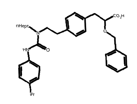 CCCCCCCN(CCc1ccc(CC(OCc2ccccc2)C(=O)O)cc1)C(=O)Nc1ccc(C(C)C)cc1